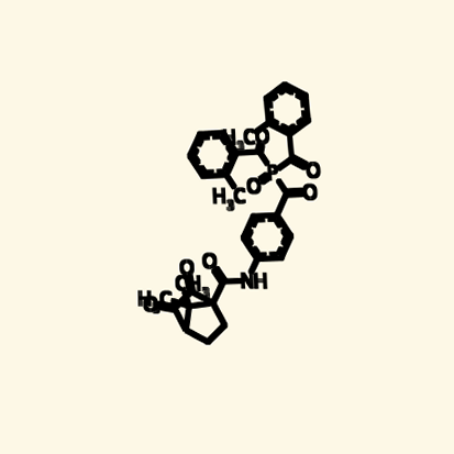 Cc1ccccc1C(=O)P(=O)(C(=O)c1ccc(NC(=O)C23CCC(C(=O)C2=O)C3(C)C)cc1)C(=O)c1ccccc1C